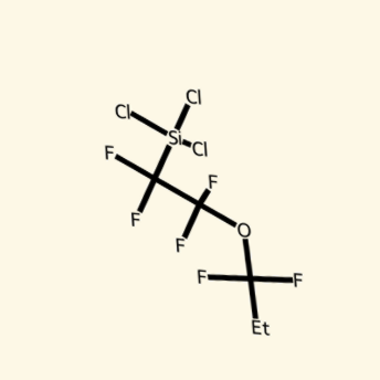 CCC(F)(F)OC(F)(F)C(F)(F)[Si](Cl)(Cl)Cl